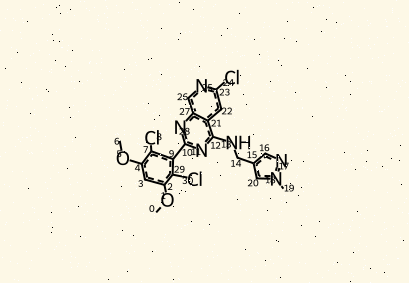 COc1cc(OC)c(Cl)c(-c2nc(NCc3cnn(C)c3)c3cc(Cl)ncc3n2)c1Cl